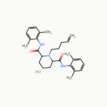 C=CCCCN1C(C(=O)Nc2c(C)cccc2C)CCCC1C(=O)Nc1c(C)cccc1C.Cl